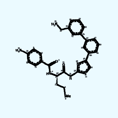 CSCC[C@H](NC(=O)c1ccc(N)cc1)C(=O)Nc1nc(-c2cccc(-c3cccc(CN)c3)c2)cs1